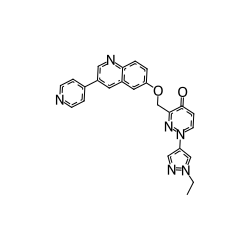 CCn1cc(-n2ccc(=O)c(COc3ccc4ncc(-c5ccncc5)cc4c3)n2)cn1